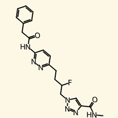 CNC(=O)c1cn(CC(F)CCc2ccc(NC(=O)Cc3ccccc3)nn2)nn1